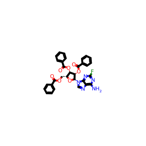 Nc1nc(F)nc2c1ncn2[C@@H]1O[C@H](COC(=O)c2ccccc2)[C@H](OC(=O)c2ccccc2)[C@@H]1OC(=O)c1ccccc1